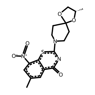 Cc1cc([N+](=O)[O-])c2sc(N3CCC4(CC3)OC[C@H](C)O4)nc(=O)c2c1